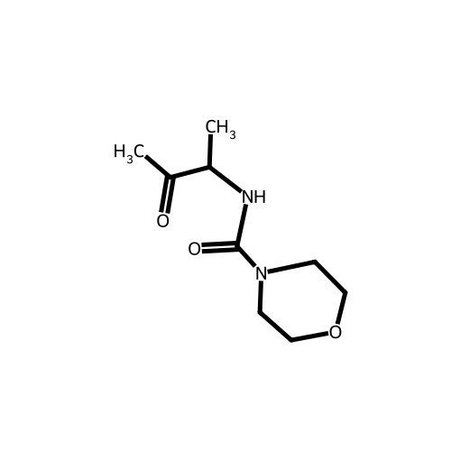 CC(=O)C(C)NC(=O)N1CCOCC1